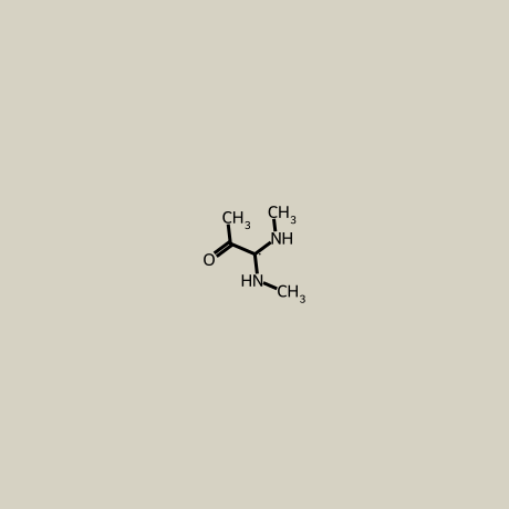 CN[C](NC)C(C)=O